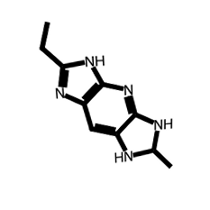 CCc1nc2cc3c(nc2[nH]1)NC(C)N3